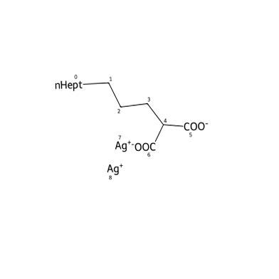 CCCCCCCCCCC(C(=O)[O-])C(=O)[O-].[Ag+].[Ag+]